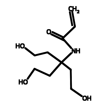 C=CC(=O)NC(CCO)(CCO)CCO